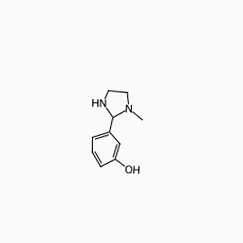 CN1CCNC1c1cccc(O)c1